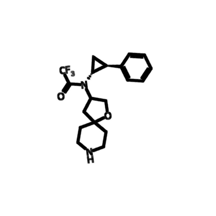 O=C(N(C1COC2(CCNCC2)C1)[C@@H]1C[C@H]1c1ccccc1)C(F)(F)F